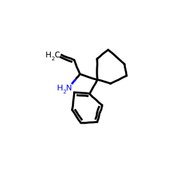 C=CC(N)C1(c2ccccc2)CCCCC1